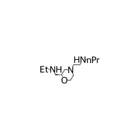 CCCNCCN1CCO[C@@H](CNCC)C1